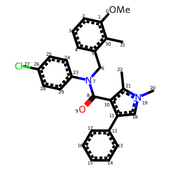 COc1cccc(CN(C(=O)c2c(-c3ccccc3)cn(C)c2C)c2ccc(Cl)cc2)c1C